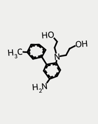 Cc1cccc(-c2cc(N)ccc2N(CCO)CCO)c1